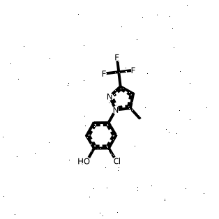 Cc1cc(C(F)(F)F)nn1-c1ccc(O)c(Cl)c1